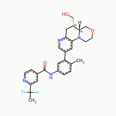 Cc1ccc(NC(=O)c2ccnc(C(C)(F)F)c2)cc1-c1cnc2c(c1)N1CCOC[C@H]1[C@@H](CO)C2